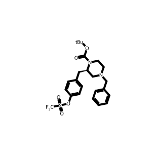 CC(C)(C)OC(=O)N1CCN(Cc2ccccc2)C[C@H]1Cc1ccc(OS(=O)(=O)C(F)(F)F)cc1